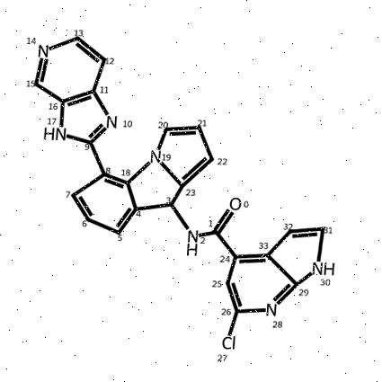 O=C(NC1c2cccc(-c3nc4ccncc4[nH]3)c2-n2cccc21)c1cc(Cl)nc2[nH]ccc12